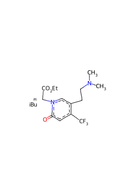 CCOC(=O)C([C@H](C)CC)n1cc(CCN(C)C)c(C(F)(F)F)cc1=O